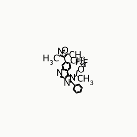 Cc1cc2c(cc1-c1c(C)noc1C)ncc1nc(-c3ccccc3)n([C@@H](C)COC(F)F)c12